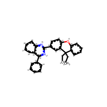 CCC1(CC)c2ccccc2Oc2ccc(-c3nc(-c4ccccc4)c4ccccc4n3)cc21